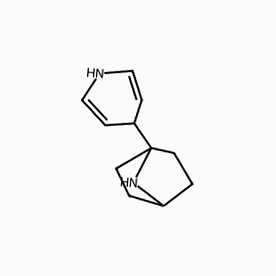 C1=CC(C23CCC(CC2)N3)C=CN1